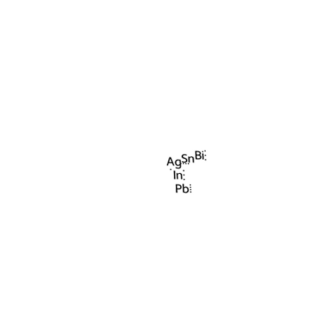 [Ag].[Bi].[In].[Pb].[Sn]